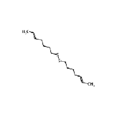 CC=CCCCCSSCCCCC=CC